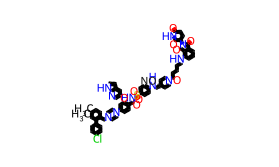 CC1(C)CCC(CN2CCN(c3ccc(C(=O)NS(=O)(=O)c4ccc(NCC5CCN(C(=O)CCCCNc6cccc7c6C(=O)N(C6CCC(=O)NC6=O)C7=O)CC5)c([N+](=O)[O-])c4)c(Oc4cnc5[nH]ccc5c4)c3)CC2)=C(c2ccc(Cl)cc2)C1